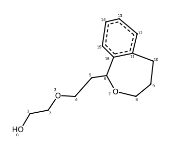 OCCOCCC1OCCCc2ccccc21